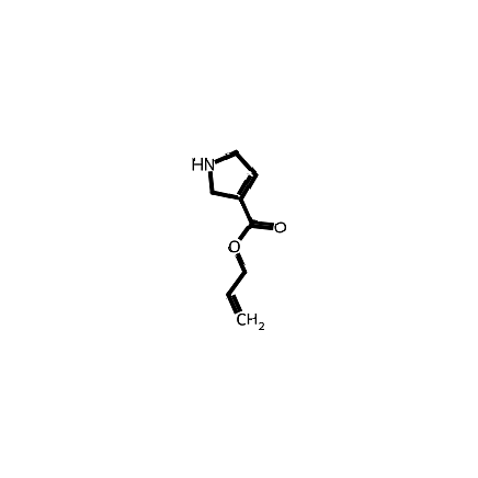 C=CCOC(=O)C1=CCNC1